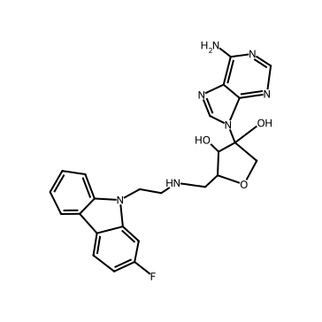 Nc1ncnc2c1ncn2C1(O)COC(CNCCn2c3ccccc3c3ccc(F)cc32)C1O